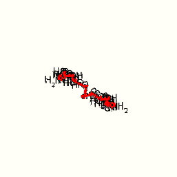 CC(C)(CCCCCc1ccccc1CCCCC(C)(C)C(=O)CCNC(=O)CCNC(=O)C(O)C(C)(C)COP(=O)(O)OP(=O)(O)OCC1OC(n2cnc3c(N)ncnc32)C(O)C1OP(=O)(O)O)C(=O)CCNC(=O)CCNC(=O)C(O)C(C)(C)COP(=O)(O)OP(=O)(O)OCC1OC(n2cnc3c(N)ncnc32)C(O)C1OP(=O)(O)O